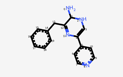 NC1NC=C(c2ccncc2)N=C1Cc1ccccc1